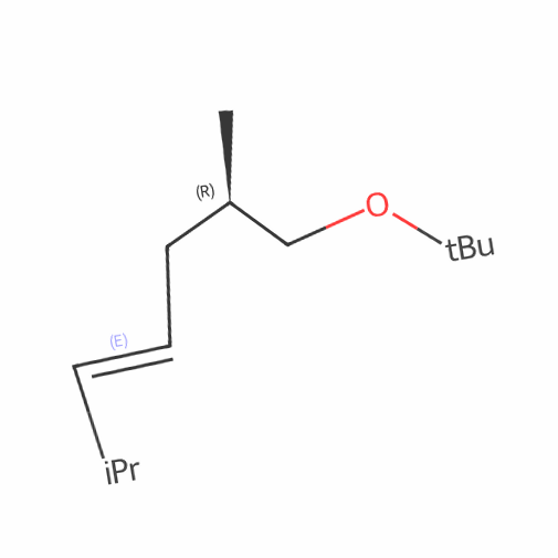 CC(C)/C=C/C[C@@H](C)COC(C)(C)C